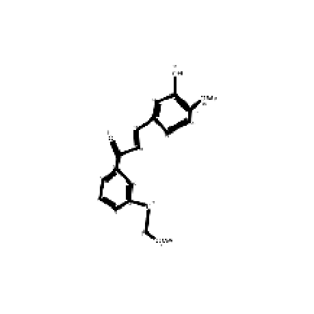 COCOc1cccc(C(=O)/C=C/c2ccc(OC)c(O)c2)c1